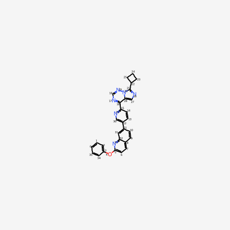 c1ccc(Oc2ccc3ccc(-c4ccc(-c5ncnn6c(C7CCC7)ncc56)nc4)cc3n2)cc1